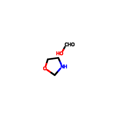 C1COCN1.O=CO